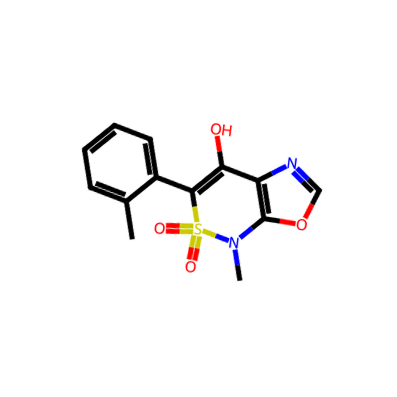 Cc1ccccc1C1=C(O)c2ncoc2N(C)S1(=O)=O